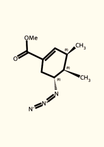 COC(=O)C1=C[C@@H](C)[C@@H](C)[C@H](N=[N+]=[N-])C1